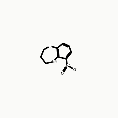 O=[N+]([O-])c1cccc2c1NCCCO2